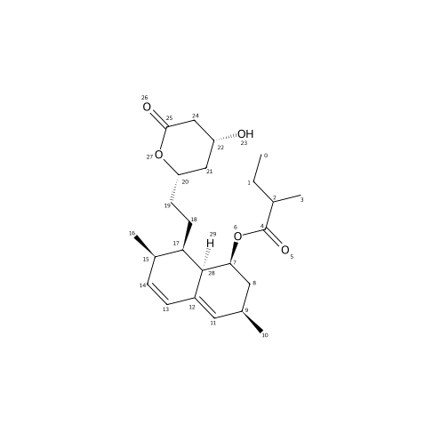 CCC(C)C(=O)O[C@H]1C[C@@H](C)C=C2C=C[C@@H](C)[C@@H](CC[C@H]3C[C@@H](O)CC(=O)O3)[C@H]21